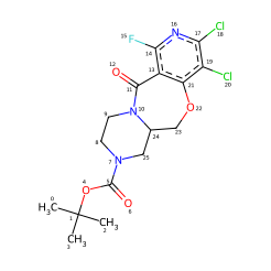 CC(C)(C)OC(=O)N1CCN2C(=O)c3c(F)nc(Cl)c(Cl)c3OCC2C1